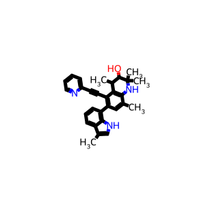 Cc1cc(-c2cccc3c(C)c[nH]c23)c(C#Cc2ccccn2)c2c1NC(C)(C)C(O)C2C